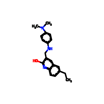 CCc1ccc2nc(O)c(CNc3ccc(N(C)C)cc3)cc2c1